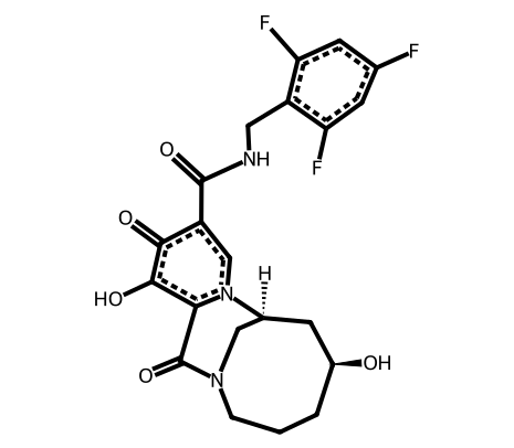 O=C(NCc1c(F)cc(F)cc1F)c1cn2c(c(O)c1=O)C(=O)N1CCC[C@H](O)C[C@H]2C1